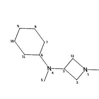 CN1CC(N(C)C2CCCCC2)C1